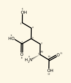 N[C@H](CC(CCO)C(=O)O)C(=O)O